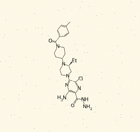 CC[C@H]1CN(c2nc(N)c(C(=O)NN)nc2Cl)CCN1C1CCN(C(=O)c2ccc(C)cc2)CC1